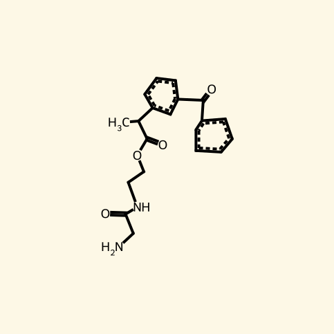 CC(C(=O)OCCNC(=O)CN)c1cccc(C(=O)c2ccccc2)c1